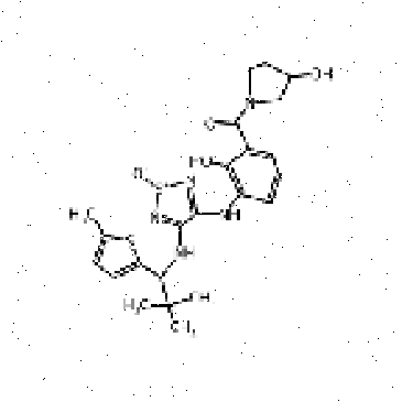 Cc1ccc(C(Nc2n[s+]([O-])nc2Nc2cccc(C(=O)N3CCC(O)C3)c2O)C(C)(C)C)s1